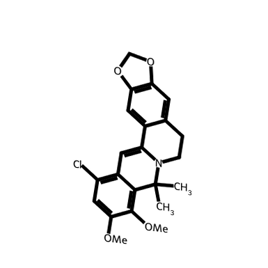 COc1cc(Cl)c2c(c1OC)C(C)(C)N1CCc3cc4c(cc3C1=C2)OCO4